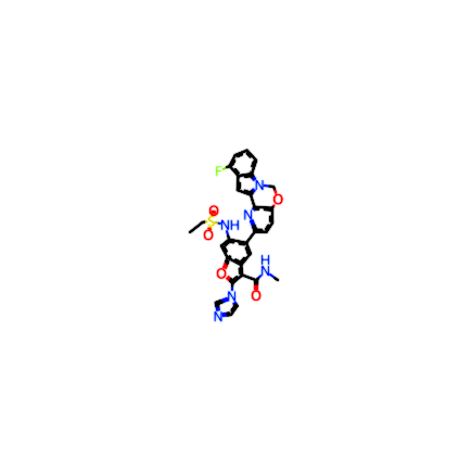 CCS(=O)(=O)Nc1cc2oc(-n3ccnc3)c(C(=O)NC)c2cc1-c1ccc2c(n1)-c1cc3c(F)cccc3n1CO2